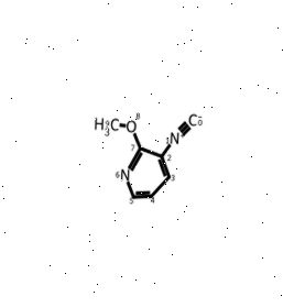 [C-]#[N+]c1cccnc1OC